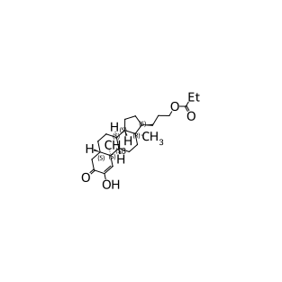 CCC(=O)OCCC[C@@H]1CC[C@H]2[C@@H]3CC[C@H]4CC(=O)C(O)=C[C@]4(C)[C@H]3CC[C@]12C